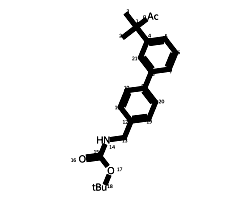 CC(=O)C(C)(C)c1cccc(-c2ccc(CNC(=O)OC(C)(C)C)cc2)c1